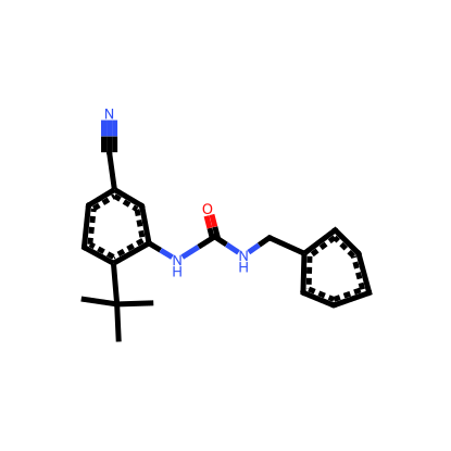 CC(C)(C)c1ccc(C#N)cc1NC(=O)NCc1ccccc1